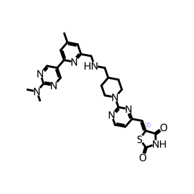 Cc1cc(CNCC2CCN(c3nccc(/C=C4\SC(=O)NC4=O)n3)CC2)nc(-c2cnc(N(C)C)nc2)c1